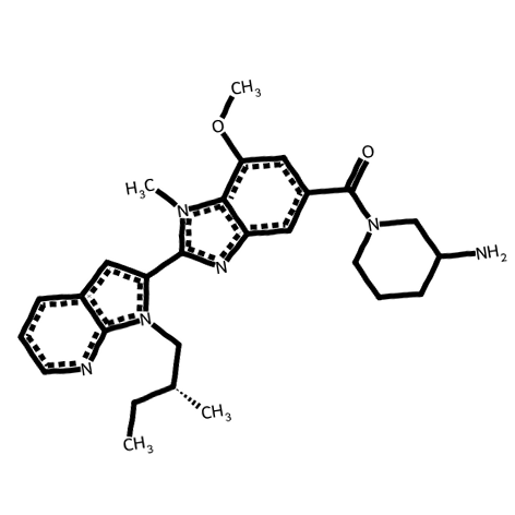 CC[C@@H](C)Cn1c(-c2nc3cc(C(=O)N4CCCC(N)C4)cc(OC)c3n2C)cc2cccnc21